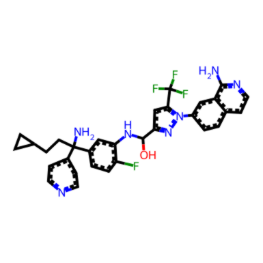 Nc1nccc2ccc(-n3nc(C(O)Nc4cc(C(N)(CCC5CC5)c5ccncc5)ccc4F)cc3C(F)(F)F)cc12